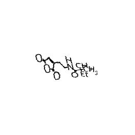 CCC(C)(C)C(=O)NCCC1=CC(=O)OC1=O